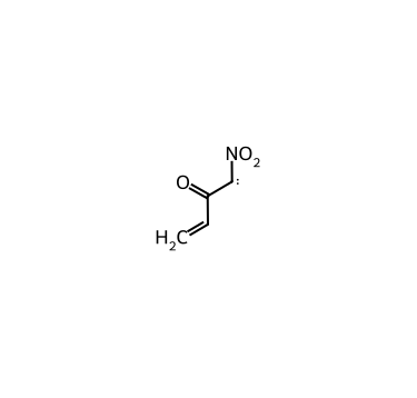 C=CC(=O)[C][N+](=O)[O-]